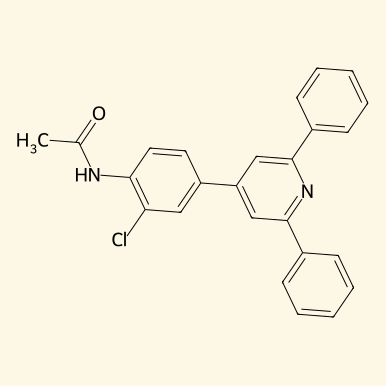 CC(=O)Nc1ccc(-c2cc(-c3ccccc3)nc(-c3ccccc3)c2)cc1Cl